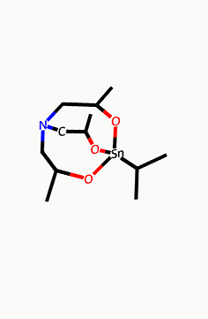 CC1CN2CC(C)[O][Sn]([CH](C)C)([O]1)[O]C(C)C2